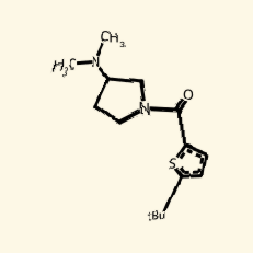 CN(C)C1CCN(C(=O)c2ccc(C(C)(C)C)s2)C1